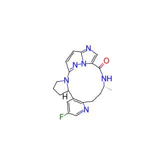 C[C@@H]1CCc2ncc(F)cc2[C@H]2CCCN2c2ccc3ncc(n3n2)C(=O)N1